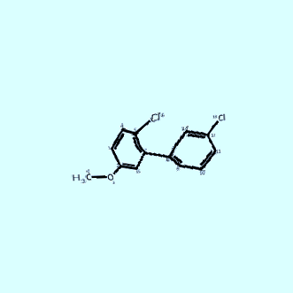 COc1ccc(Cl)c(-c2cccc(Cl)c2)c1